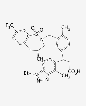 CCn1nnc2c(C)c(C(CC(=O)O)c3ccc(C)c(CN4C[C@@H](C)Cc5ccc(C(F)(F)F)cc5S4(=O)=O)c3)ccc21